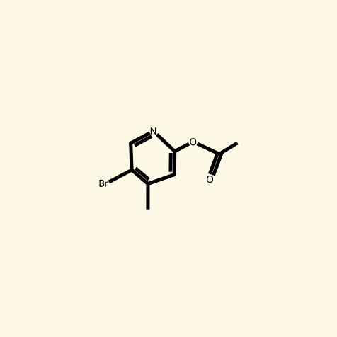 CC(=O)Oc1cc(C)c(Br)cn1